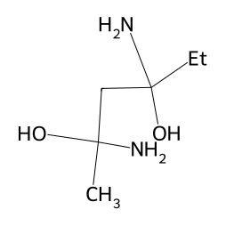 CCC(N)(O)CC(C)(N)O